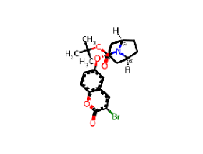 CC(C)(C)OC(=O)N1[C@@H]2CC[C@H]1C[C@H](Oc1ccc3oc(=O)c(Br)cc3c1)C2